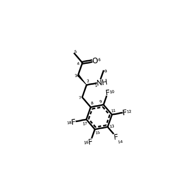 CN[C@H](CC(C)=O)Cc1c(F)c(F)c(F)c(F)c1F